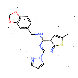 Cc1cc2c(NCc3ccc4c(c3)OCO4)nc(-n3cccn3)nc2s1